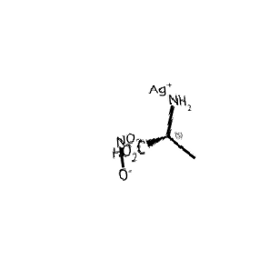 C[C@H](N)C(=O)O.O=[N+]([O-])[O-].[Ag+]